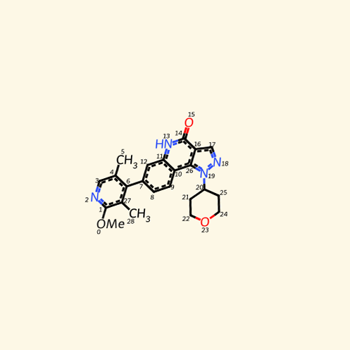 COc1ncc(C)c(-c2ccc3c(c2)[nH]c(=O)c2cnn(C4CCOCC4)c23)c1C